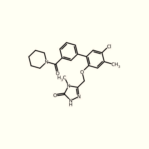 Cc1cc(OCc2n[nH]c(=O)n2C)c(-c2cccc(C(=O)N3CCCCC3)c2)cc1Cl